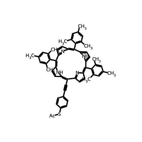 CC(=O)Sc1ccc(C#Cc2c3nc(c(-c4c(C)cc(C)cc4C)c4ccc([nH]4)c(-c4c(C)cc(C)cc4C)c4nc(c(-c5c(C)cc(C)cc5C)c5ccc2[nH]5)C=C4)C=C3)cc1